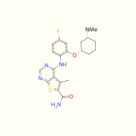 CN[C@@H]1CCC[C@H](Oc2cc(F)ccc2Nc2ncnc3sc(C(N)=O)c(C)c23)C1